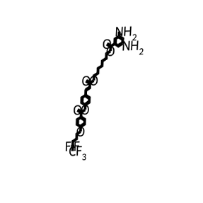 Nc1cc(N)cc(C(=O)OCCCCCCCOC(=O)C=Cc2ccc(OC(=O)c3ccc(OCCCC(F)(F)C(F)(F)F)cc3)cc2)c1